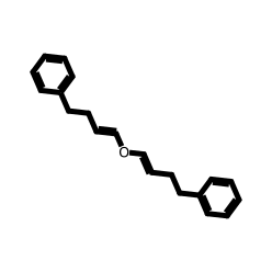 C(=COC=CCCc1ccccc1)CCc1ccccc1